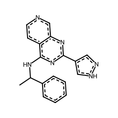 CC(Nc1nc(-c2cn[nH]c2)nc2cnccc12)c1ccccc1